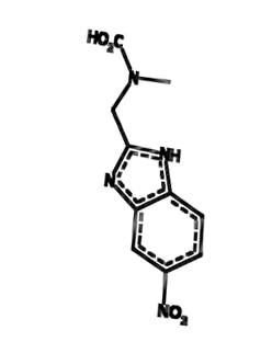 CN(Cc1nc2cc([N+](=O)[O-])ccc2[nH]1)C(=O)O